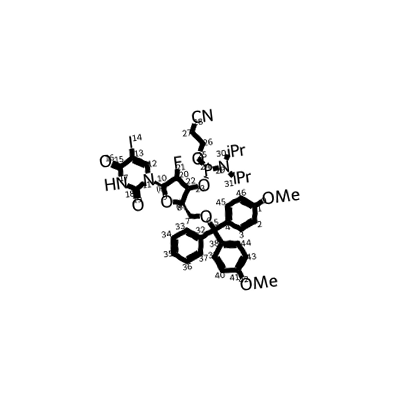 COc1ccc(C(OC[C@H]2O[C@@H](n3cc(I)c(=O)[nH]c3=O)C(F)C2OP(OCCC#N)N(C(C)C)C(C)C)(c2ccccc2)c2ccc(OC)cc2)cc1